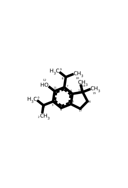 CC(C)c1cc2c(c(C(C)C)c1O)C(C)(C)CC2